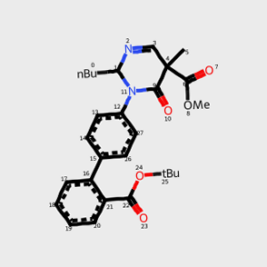 CCCCC1N=CC(C)(C(=O)OC)C(=O)N1c1ccc(-c2ccccc2C(=O)OC(C)(C)C)cc1